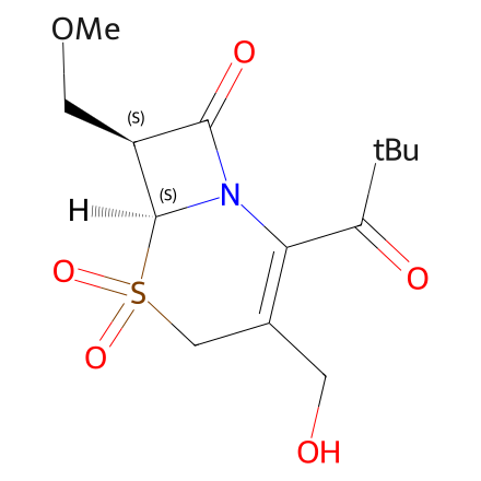 COC[C@H]1C(=O)N2C(C(=O)C(C)(C)C)=C(CO)CS(=O)(=O)[C@@H]12